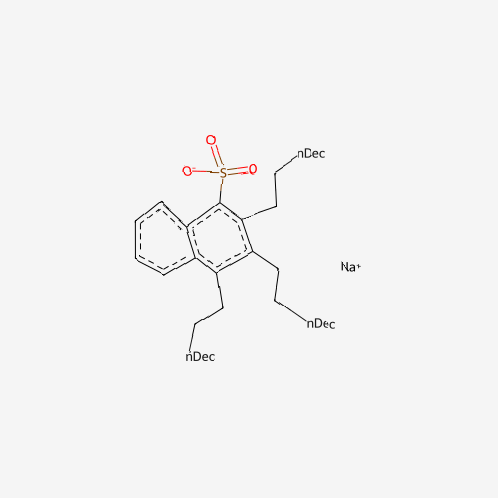 CCCCCCCCCCCCc1c(CCCCCCCCCCCC)c(S(=O)(=O)[O-])c2ccccc2c1CCCCCCCCCCCC.[Na+]